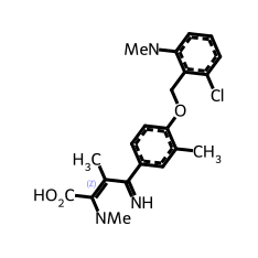 CN/C(C(=O)O)=C(/C)C(=N)c1ccc(OCc2c(Cl)cccc2NC)c(C)c1